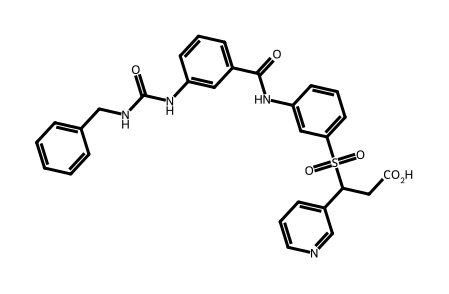 O=C(O)CC(c1cccnc1)S(=O)(=O)c1cccc(NC(=O)c2cccc(NC(=O)NCc3ccccc3)c2)c1